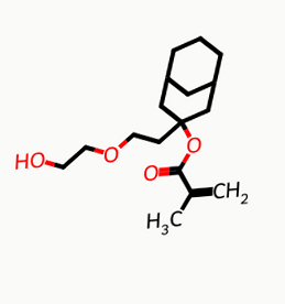 C=C(C)C(=O)OC1(CCOCCO)CC2CCCC(C2)C1